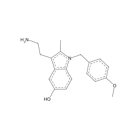 COc1ccc(Cn2c(C)c(CCN)c3cc(O)ccc32)cc1